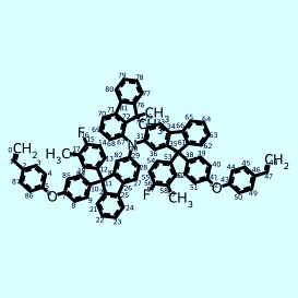 C=Cc1ccc(Oc2ccc(C3(c4ccc(F)c(C)c4)c4ccccc4-c4ccc(N(c5ccc6c(c5)C(c5ccc(Oc7ccc(C=C)cc7)cc5)(c5ccc(F)c(C)c5)c5ccccc5-6)c5cccc6c5C(C)(C)c5ccccc5-6)cc43)cc2)cc1